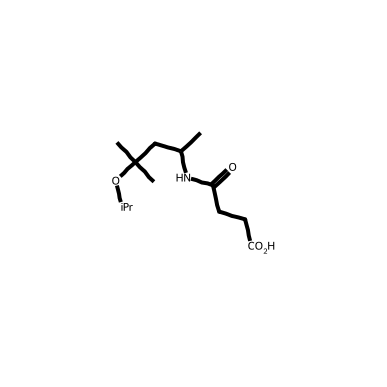 CC(CC(C)(C)OC(C)C)NC(=O)CCC(=O)O